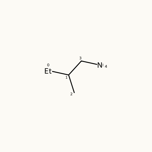 CCC(C)C[N]